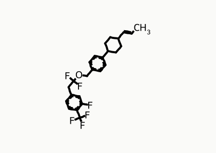 CC=CC1CCC(c2ccc(COC(F)(F)Cc3ccc(C(F)(F)F)c(F)c3)cc2)CC1